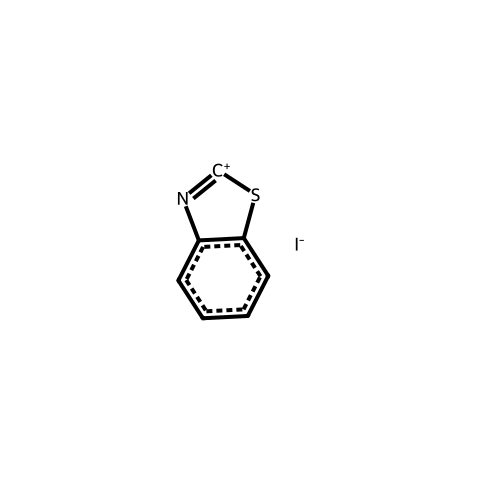 [C+]1=Nc2ccccc2S1.[I-]